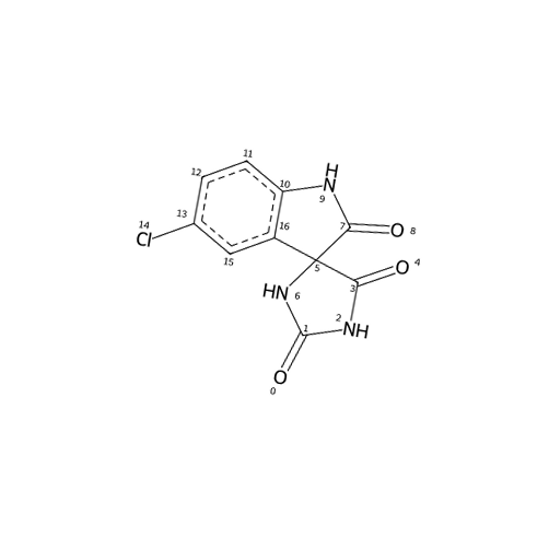 O=C1NC(=O)C2(N1)C(=O)Nc1ccc(Cl)cc12